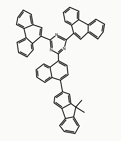 CC1(C)c2ccccc2-c2ccc(-c3ccc(-c4nc(-c5cc6ccccc6c6ccccc56)nc(-c5cc6ccccc6c6ccccc56)n4)c4ccccc34)cc21